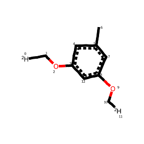 [2H]COc1cc(C)cc(OC[2H])c1